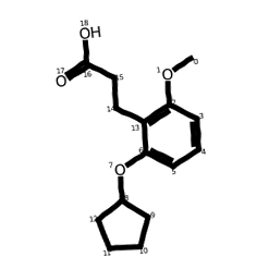 COc1cccc(OC2CCCC2)c1CCC(=O)O